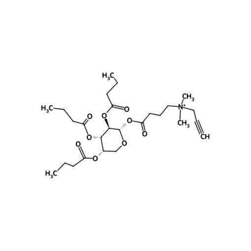 C#CC[N+](C)(C)CCCC(=O)O[C@@H]1OC[C@H](OC(=O)CCC)[C@H](OC(=O)CCC)[C@H]1OC(=O)CCC